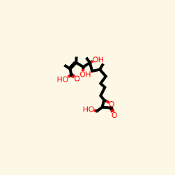 CC(C(=O)O)=C(C)C(O)C(C)(O)CC(C)CCCCC1OC(=O)C1CO